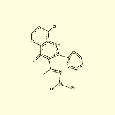 C/C(=N\[S+]([O-])C(C)(C)C)c1c(-c2ccccc2)[nH]c2c(Cl)cccc2c1=O